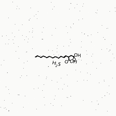 CCCCCCCCCCC=CC(CC(=O)O)C(=O)O.S